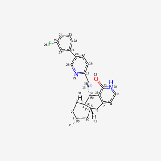 C[C@@H]1CC[C@@H]2[C@H](Cc3cc[nH]c(=O)c3[C@H]2/C=C/c2ccc(-c3cccc(F)c3)cn2)C1